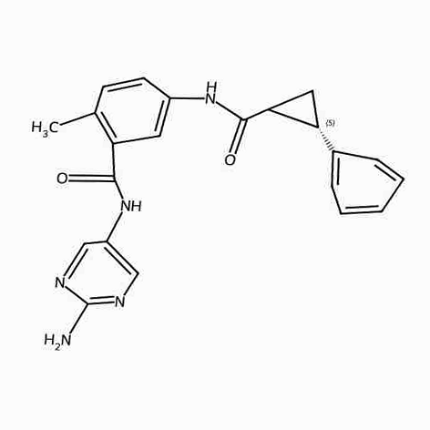 Cc1ccc(NC(=O)C2C[C@@H]2c2ccccc2)cc1C(=O)Nc1cnc(N)nc1